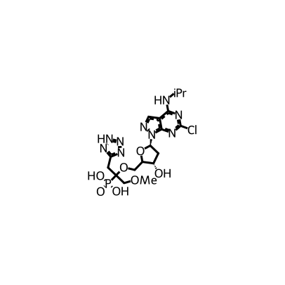 COCC(Cc1nn[nH]n1)(OCC1O[C@@H](n2ncc3c(NC(C)C)nc(Cl)nc32)C[C@@H]1O)P(=O)(O)O